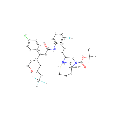 CC(C)(C)OC(=O)N1CC(CCc2c(F)cccc2NC(=O)CC(c2ccc(Cl)cc2)C2CCOC(CC(F)(F)F)C2)N2C[C@H]1CCCS2